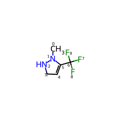 CN1N[CH]C=C1C(F)(F)F